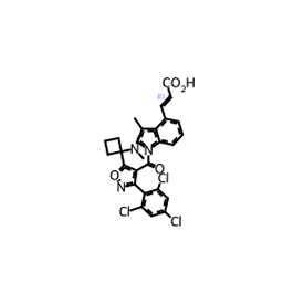 Cc1cn(C(=O)c2c(-c3c(Cl)cc(Cl)cc3Cl)noc2C2(N(C)C)CCC2)c2cccc(/C=C/C(=O)O)c12